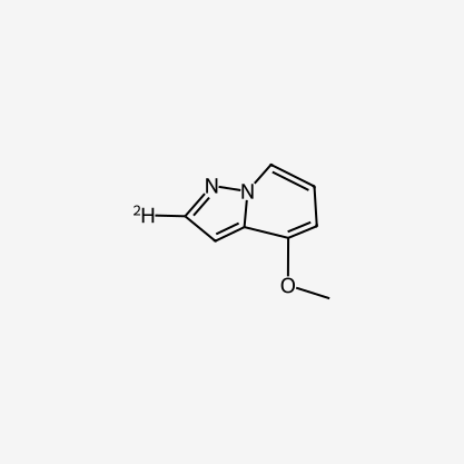 [2H]c1cc2c(OC)cccn2n1